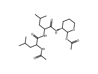 CC(=O)NC(CC(C)C)C(=O)NC(CC(C)C)C(=O)N[C@H]1CCCOC1OC(C)=O